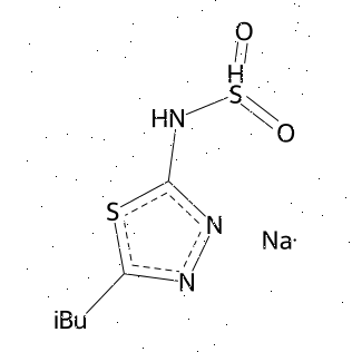 CCC(C)c1nnc(N[SH](=O)=O)s1.[Na]